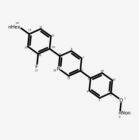 CCCCCCCCCOc1ccc(-c2ccc(-c3ccc(CCCCCC)cc3F)nc2)cc1